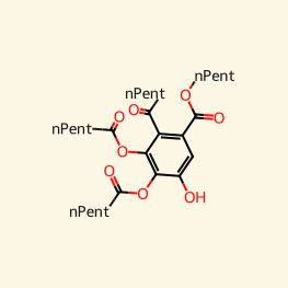 CCCCCOC(=O)c1cc(O)c(OC(=O)CCCCC)c(OC(=O)CCCCC)c1C(=O)CCCCC